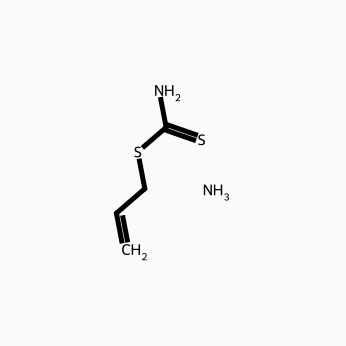 C=CCSC(N)=S.N